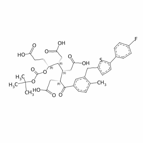 Cc1ccc(C(=O)[C@H](CC(=O)O)[C@@H](CC(=O)O)[C@@H](CC(=O)O)[C@@H](CCC(=O)O)OC(=O)OC(C)(C)C)cc1Cc1ccc(-c2ccc(F)cc2)s1